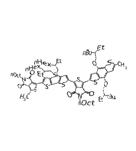 CCCCCCCCN1C(=O)c2c(C)sc(-c3cc4c(s3)-c3sc(-c5sc(-c6cc7c(OCC(CC)CCCC)c8sc(C)cc8c(OCC(CC)CCCC)c7s6)c6c5C(=O)N(CCCCCCCC)C6=O)cc3[Si]4(CC(CC)CCCCCC)CC(CC)CCCCCC)c2C1=O